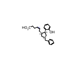 O=C(O)CC/C=C\C[C@@H]1CN(Cc2ccccc2)C[C@@H]1c1ccccc1O